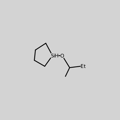 CCC(C)O[SiH]1CCCC1